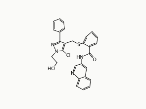 O=C(Nc1cnc2ccccc2c1)c1ccccc1SCc1c(-c2ccccc2)nn(CCO)c1Cl